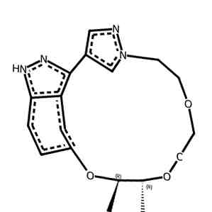 C[C@H]1OCCOCCn2cc(cn2)-c2n[nH]c3ccc(cc23)O[C@@H]1C